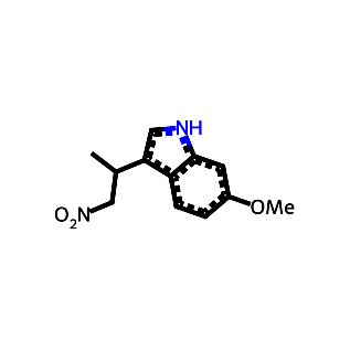 COc1ccc2c(C(C)C[N+](=O)[O-])c[nH]c2c1